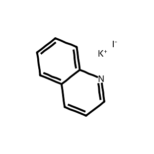 [I-].[K+].c1ccc2ncccc2c1